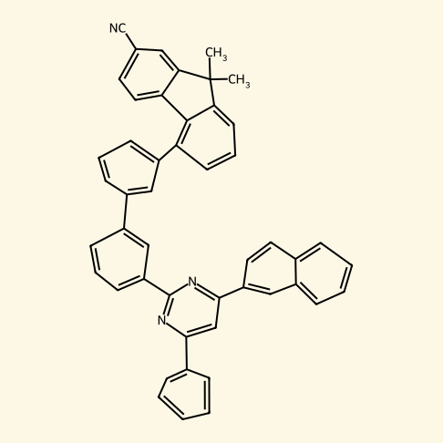 CC1(C)c2cc(C#N)ccc2-c2c(-c3cccc(-c4cccc(-c5nc(-c6ccccc6)cc(-c6ccc7ccccc7c6)n5)c4)c3)cccc21